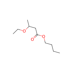 CCCCOC(=O)CC(C)OCC